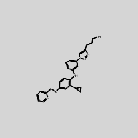 OCCCc1cn(-c2cccc(Nc3ccc(OCc4ccccn4)cc3C3CC3)c2)nn1